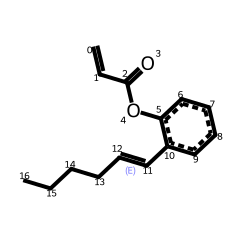 C=CC(=O)Oc1ccccc1/C=C/CCCC